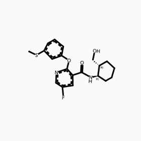 CSc1cccc(Oc2ncc(F)cc2C(=O)N[C@@H]2CCCC[C@H]2CO)c1